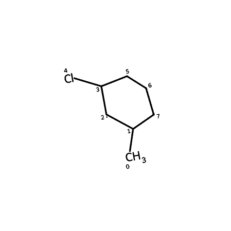 CC1[CH]C(Cl)CCC1